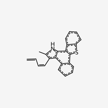 C=C/C=C\c1c(C)[nH]c2c1c1ccccc1c1sc3ccccc3c21